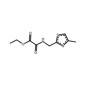 CCOC(=O)C(=O)NCc1nc(C)cs1